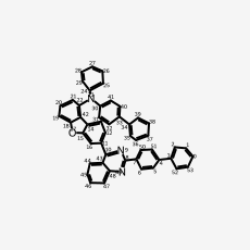 c1ccc(-c2ccc(-c3nc(-c4ccc5c(c4)oc4cccc(N(c6ccccc6)c6ccc(-c7ccccc7)cc6)c45)c4ccccc4n3)cc2)cc1